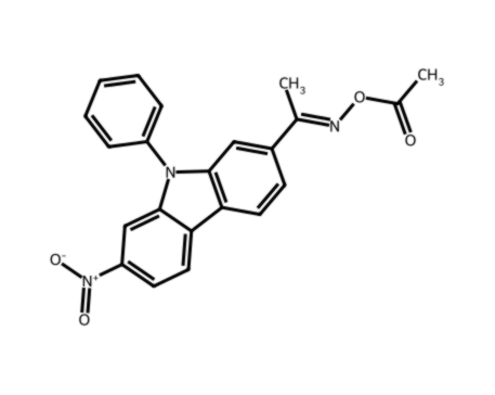 CC(=O)O/N=C(\C)c1ccc2c3ccc([N+](=O)[O-])cc3n(-c3ccccc3)c2c1